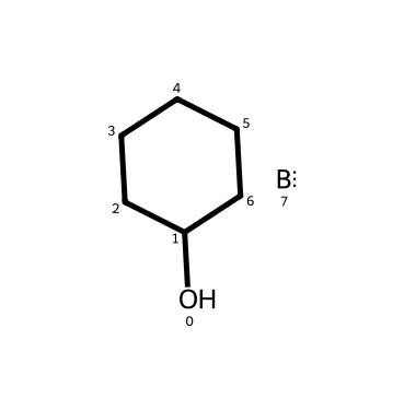 OC1CCCCC1.[B]